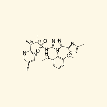 COc1cccc(OC)c1-n1c(NS(=O)(=O)[C@@H](C)[C@H](C)c2ncc(F)cn2)nnc1-c1nc(C)cs1